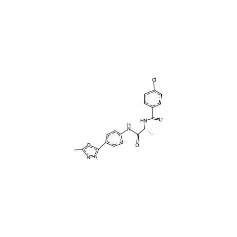 Cc1nnc(-c2ccc(NC(=O)[C@@H](C)NC(=O)c3ccc(Cl)cc3)cc2)o1